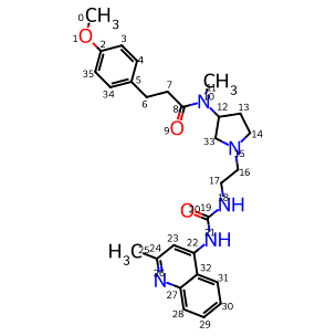 COc1ccc(CCC(=O)N(C)C2CCN(CCNC(=O)Nc3cc(C)nc4ccccc34)C2)cc1